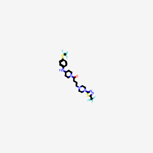 O=C(CCCN1CCN(c2nnc(C(F)(F)F)s2)CC1)N1CCC(Nc2ccc(SC(F)(F)F)cc2)CC1